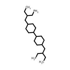 CCC(CP)CC1CCC(C2CCC(CC(CC)CP)CC2)CC1